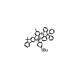 Cc1cc2c3c(c1)N1c4ccccc4C(c4ccccc4)(c4ccccc4)c4cccc(c41)B3N(c1ccc(C(C)(C)C)cc1)c1cc3c(cc1-2)C(C)(C)c1ccccc1-3